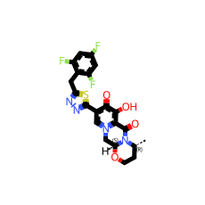 C[C@@H]1CCO[C@H]2Cn3cc(-c4nnc(Cc5c(F)cc(F)cc5F)s4)c(=O)c(O)c3C(=O)N12